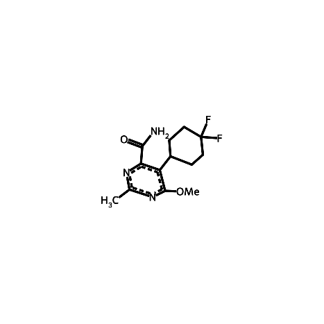 COc1nc(C)nc(C(N)=O)c1C1CCC(F)(F)CC1